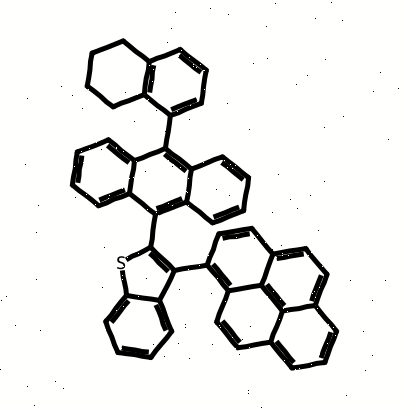 c1cc2c(c(-c3c4ccccc4c(-c4sc5ccccc5c4-c4ccc5ccc6cccc7ccc4c5c67)c4ccccc34)c1)CCCC2